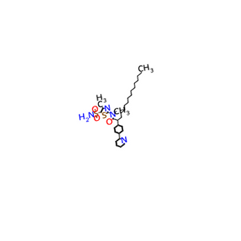 CCCCCCCCCCCCCCC(C(=O)N(C)c1nc(C)c(S(N)(=O)=O)s1)c1ccc(-c2ccccn2)cc1